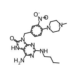 CCCCNc1nc(N)c2[nH]c(=O)n(Cc3ccc(N4CCN(C)CC4)c([N+](=O)[O-])c3)c2n1